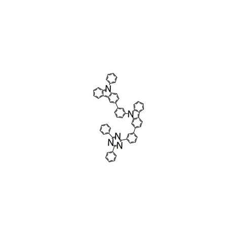 c1ccc(-c2nc(-c3ccccc3)nc(-c3cccc(-c4ccc5c6ccccc6n(-c6cccc(-c7ccc8c(c7)c7ccccc7n8-c7ccccc7)c6)c5c4)c3)n2)cc1